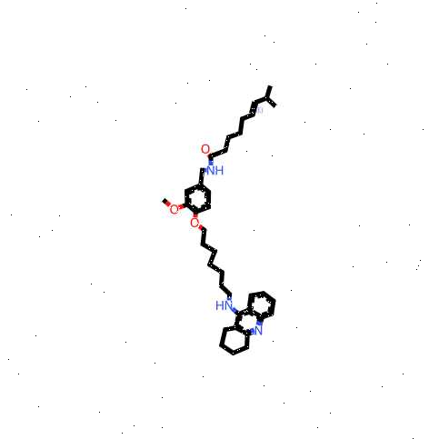 COc1cc(CNC(=O)CCCC/C=C/C(C)C)ccc1OCCCCCCCNc1c2c(nc3ccccc13)CCCC2